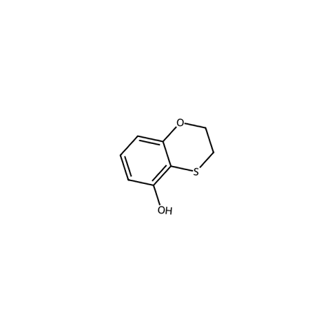 Oc1cccc2c1SCCO2